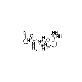 C[C@@H](c1cccc(-c2nnn[nH]2)c1)N1C(=O)[C@@H]2C[C@H]1CN2CC(N)C(=O)N1CCCC1C#N